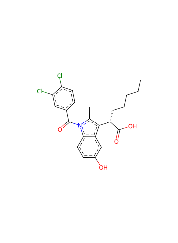 CCCCC[C@H](C(=O)O)c1c(C)n(C(=O)c2ccc(Cl)c(Cl)c2)c2ccc(O)cc12